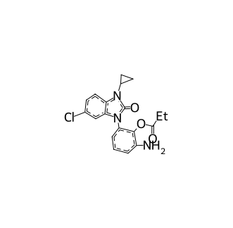 CCC(=O)Oc1c(N)cccc1-n1c(=O)n(C2CC2)c2ccc(Cl)cc21